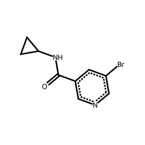 O=C(NC1CC1)c1cncc(Br)c1